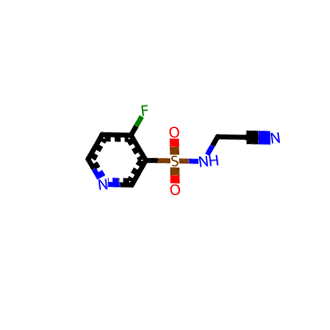 N#CCNS(=O)(=O)c1cnccc1F